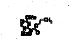 C=CCOC(=O)N(OC)c1ncnc(OC)n1